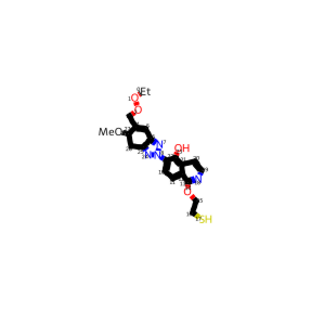 CCOOCC1=Cc2nn(-c3ccc4c(OCCS)nccc4c3O)nc2CC1OC